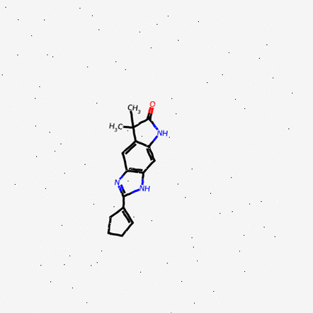 CC1(C)C(=O)Nc2cc3[nH]c(C4=CCCC4)nc3cc21